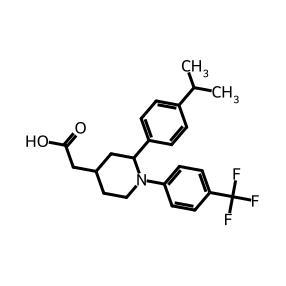 CC(C)c1ccc(C2CC(CC(=O)O)CCN2c2ccc(C(F)(F)F)cc2)cc1